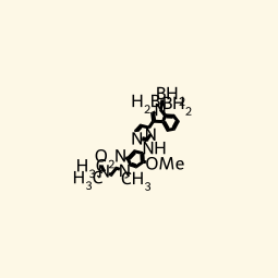 BC(B)(B)n1cc(-c2ccnc(Nc3cc([N+](=O)[O-])c(N(C)CCN(C)C)cc3OC)n2)c2ccccc21